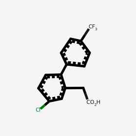 O=C(O)Cc1cc(Cl)ccc1-c1ccc(C(F)(F)F)cc1